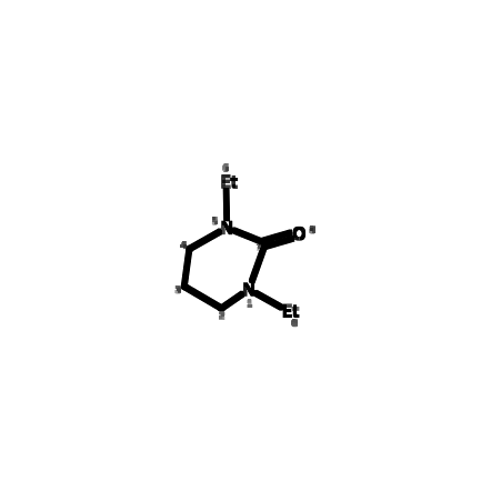 CCN1CCCN(CC)C1=O